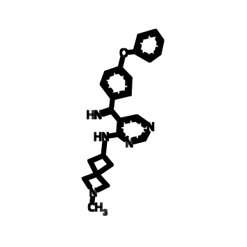 CN1CC2(CC(Nc3ncncc3C(=N)c3ccc(Oc4ccccc4)cc3)C2)C1